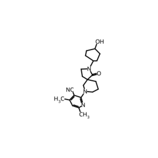 Cc1cc(C)c(C#N)c(N2CCCC3(CCN(C4CCC(O)CC4)C3=O)C2)n1